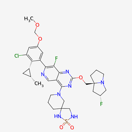 COCOc1cc(Cl)c([C@H]2C[C@H]2C)c(-c2ncc3c(N4CCCC5(CNS(=O)(=O)N5)C4)nc(OC[C@@]45CCCN4C[C@H](F)C5)nc3c2F)c1